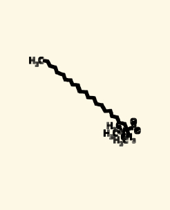 CCCCCCCCCC=CCCCCCCCCCCCC(CC)(P(=O)=O)[N+](C)(C)C